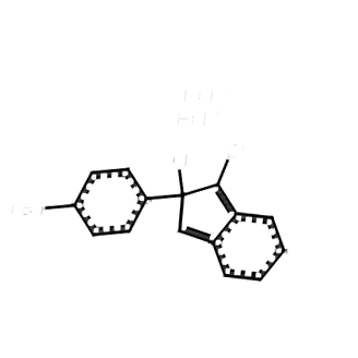 CCCCc1ccc(C2(C)C=c3ccccc3=[C]2[Zr])cc1.Cl.Cl